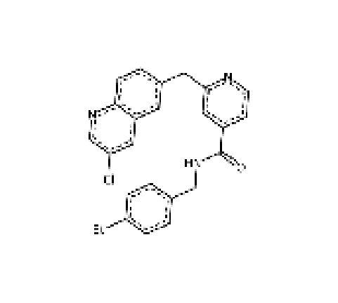 CCc1ccc(CNC(=O)c2ccnc(Cc3ccc4ncc(Cl)cc4c3)c2)cc1